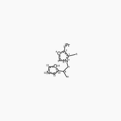 Cc1c(C(C)C)oc[n+]1CC(C)c1cnco1